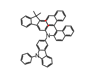 CC1(C)c2ccccc2-c2cc(N(c3ccc4c(c3)c3ccccc3n4-c3ccccc3)c3ccc4ccccc4c3-c3cccc4ccccc34)ccc21